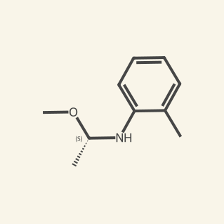 CO[C@@H](C)Nc1ccccc1C